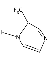 FC(F)(F)C1C=NC=CN1I